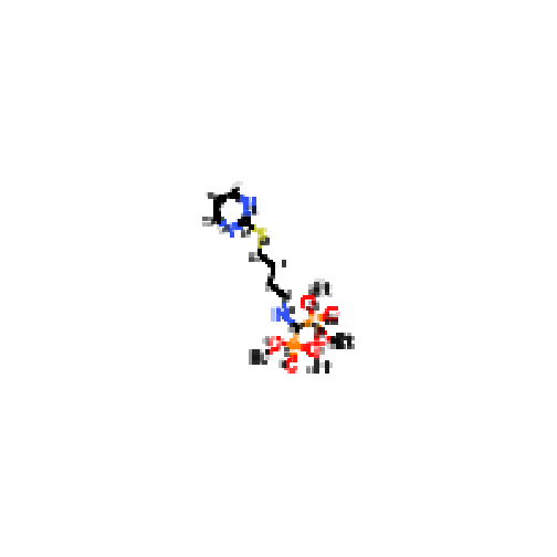 CCOP(=O)(OCC)C(NCCCCSc1ncccn1)P(=O)(OCC)OCC